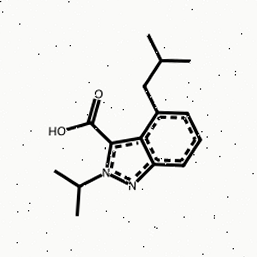 CC(C)Cc1cccc2nn(C(C)C)c(C(=O)O)c12